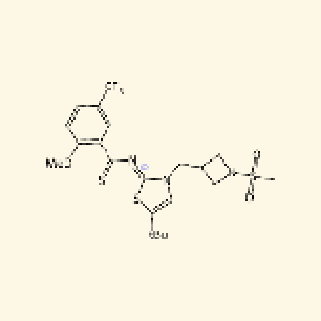 COc1ccc(C(F)(F)F)cc1C(=S)/N=c1\sc(C(C)(C)C)cn1CC1CN(S(C)(=O)=O)C1